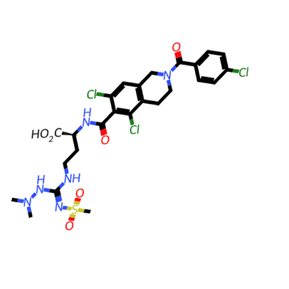 CN(C)N/C(=N/S(C)(=O)=O)NCC[C@H](NC(=O)c1c(Cl)cc2c(c1Cl)CCN(C(=O)c1ccc(Cl)cc1)C2)C(=O)O